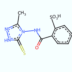 Cc1n[nH]c(=S)n1NC(=O)c1ccccc1S(=O)(=O)O